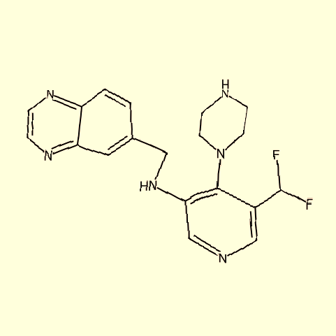 FC(F)c1cncc(NCc2ccc3nccnc3c2)c1N1CCNCC1